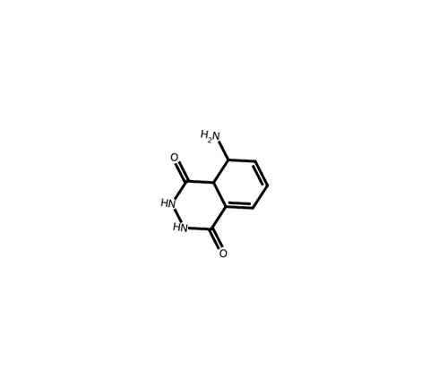 NC1C=CC=C2C(=O)NNC(=O)C21